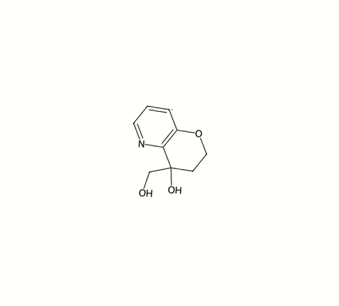 OCC1(O)CCOc2[c]ccnc21